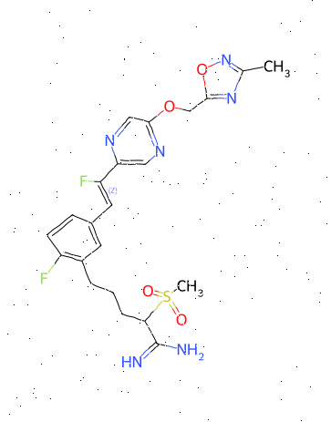 Cc1noc(COc2cnc(/C(F)=C/c3ccc(F)c(CCCC(C(=N)N)S(C)(=O)=O)c3)cn2)n1